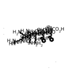 CC(C)C(NC(=O)C(Cc1c[nH]c2ccccc12)NC(=O)C(NC(=O)C(Cc1c[nH]c2ccccc12)NC(=O)C(NC(=O)C(CCCCN)NC(=O)C(CC(N)=O)NC(=O)C(CC(N)=O)NC(=O)C(CCCCN)NC(=O)C(N)CCCNC(=N)N)C(C)O)C(C)O)C(=O)O